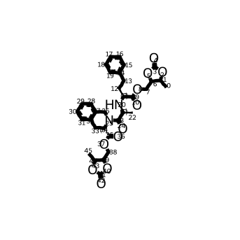 CC1OC(=O)OC1COC(=O)[C@H](CCc1ccccc1)N[C@@H](C)C(=O)N1Cc2ccccc2C[C@H]1C(=O)OCC1OC(=O)OC1C